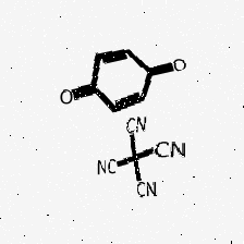 N#CC(C#N)(C#N)C#N.O=C1C=CC(=O)C=C1